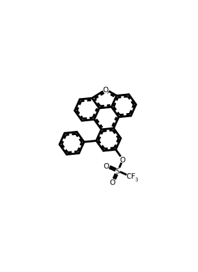 O=S(=O)(Oc1cc(-c2ccccc2)c2c(c1)c1cccc3oc4cccc2c4c31)C(F)(F)F